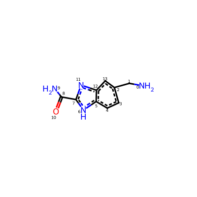 NCc1ccc2[nH]c(C(N)=O)nc2c1